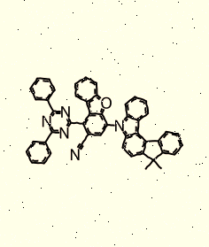 CC1(C)c2ccccc2-c2c1ccc1c2c2ccccc2n1-c1cc(C#N)c(-c2nc(-c3ccccc3)nc(-c3ccccc3)n2)c2c1oc1ccccc12